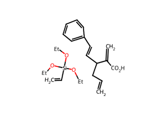 C=CCC(C=Cc1ccccc1)C(=C)C(=O)O.C=C[Si](OCC)(OCC)OCC